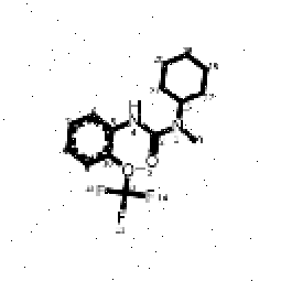 CN(C(=O)Nc1ccccc1OC(F)(F)F)C1CCCCC1